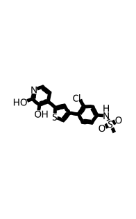 CS(=O)(=O)Nc1ccc(-c2csc(-c3ccnc(O)c3O)c2)c(Cl)c1